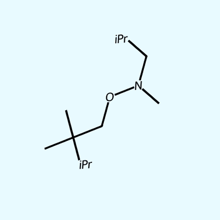 CC(C)CN(C)OCC(C)(C)C(C)C